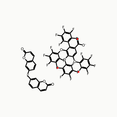 O=C([O-])c1cc(Oc2c(F)c(F)c(F)c(F)c2F)c(Oc2c(F)c(F)c(F)c(F)c2F)c(Oc2c(F)c(F)c(F)c(F)c2F)c1-c1c(F)c(F)c(F)c(F)c1F.O=c1ccc2ccc([I+]c3ccc4ccc(=O)oc4c3)cc2o1